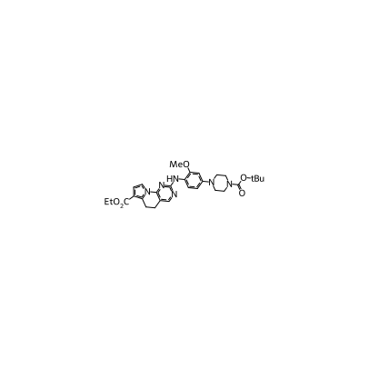 CCOC(=O)c1ccn2c1CCc1cnc(Nc3ccc(N4CCN(C(=O)OC(C)(C)C)CC4)cc3OC)nc1-2